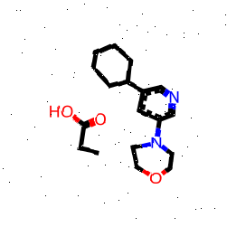 CCC(=O)O.c1ncc(N2CCOCC2)cc1C1CCCCC1